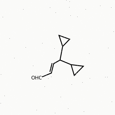 O=C/C=C/C(C1CC1)C1CC1